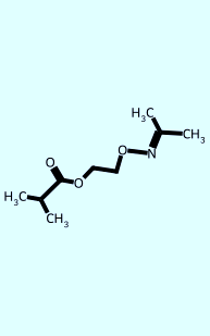 CC(C)=NOCCOC(=O)C(C)C